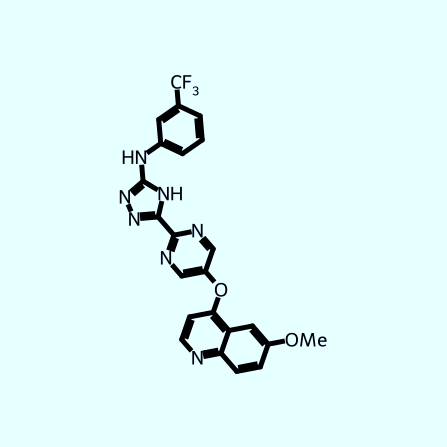 COc1ccc2nccc(Oc3cnc(-c4nnc(Nc5cccc(C(F)(F)F)c5)[nH]4)nc3)c2c1